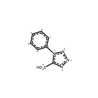 O=S(=O)(O)c1nnnn1-c1ccccc1